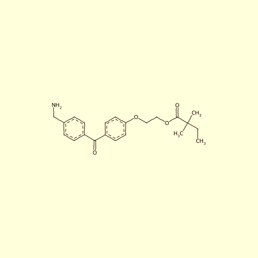 CCC(C)(C)C(=O)OCCOc1ccc(C(=O)c2ccc(CN)cc2)cc1